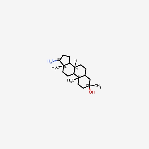 C[C@@]1(O)CC[C@@]2(C)C(CC[C@@H]3C2CC[C@@]2(C)C3CC[C@@H]2N)C1